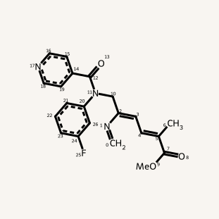 C=N/C(=C\C=C(/C)C(=O)OC)CN(C(=O)c1ccncc1)c1cccc(F)c1